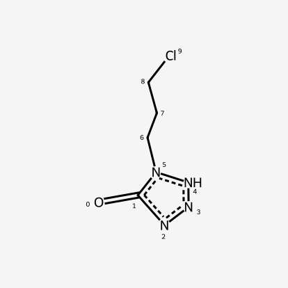 O=c1nn[nH]n1CCCCl